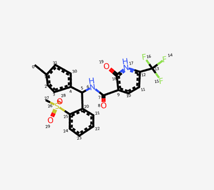 Cc1ccc(C(NC(=O)c2ccc(C(F)(F)F)[nH]c2=O)c2ccccc2S(C)(=O)=O)cc1